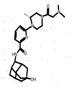 C[C@@H]1CN(C(=O)CN(C)C)CCN1c1cccc(C(=O)NC2C3CC4CC2CC(O)(C4)C3)n1